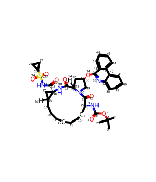 CC(C)(C)OC(=O)N[C@H]1CCCCCCC[C@@H]2C[C@@]2(C(=O)NS(=O)(=O)C2CC2)NC(=O)[C@@H]2C[C@@H](Oc3nc4ccccc4c4ccccc34)CN2C1=O